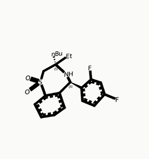 CCCC[C@@]1(CC)CS(=O)(=O)c2ccccc2[C@H](c2ccc(F)cc2F)N1